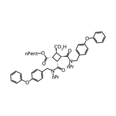 CCCCCOC(=O)[C@@H]1[C@@H](C(=O)O)[C@@H](C(=O)N(CCC)Cc2ccc(Oc3ccccc3)cc2)[C@@H]1C(=O)N(CCC)Cc1ccc(Oc2ccccc2)cc1